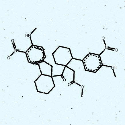 CNc1ccc(C2CCCCC2(CC(=O)OC)C(=O)C2(CC(=O)OC)CCCCC2c2ccc(NC)c([N+](=O)[O-])c2)cc1[N+](=O)[O-]